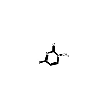 Cn1ccc(I)nc1=O